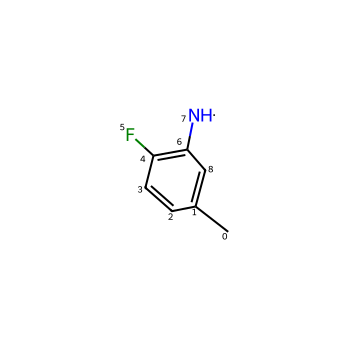 Cc1ccc(F)c([NH])c1